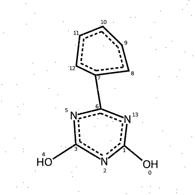 Oc1nc(O)nc(-c2ccccc2)n1